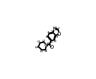 O=C(c1ccc2ncoc2c1)N1CCCCC1